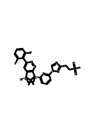 CC1(C)[C@H]2CC[C@]1(c1cccc(-n3cnc(CCS(C)(=O)=O)n3)n1)c1nnc(-c3c(F)cccc3F)cc12